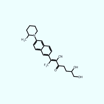 CC1CCCCN1c1ccc2cc(/C(=C(\C#N)C(=O)CCC(O)CO)C(F)(F)F)ccc2c1